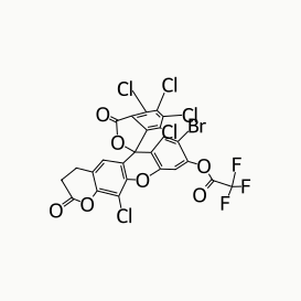 O=C1CCc2cc3c(c(Cl)c2O1)Oc1cc(OC(=O)C(F)(F)F)c(Br)cc1C31OC(=O)c2c(Cl)c(Cl)c(Cl)c(Cl)c21